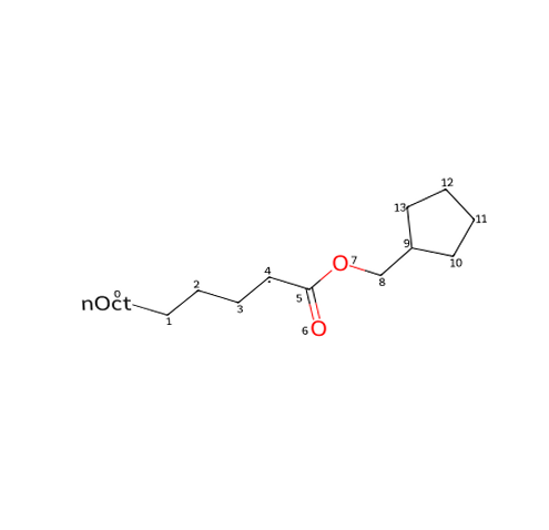 CCCCCCCCCCC[CH]C(=O)OCC1CCCC1